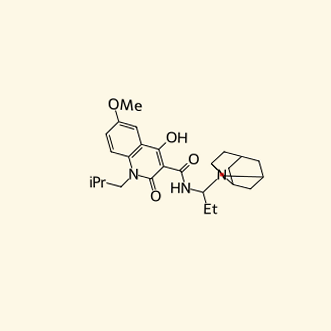 CCC(NC(=O)c1c(O)c2cc(OC)ccc2n(CC(C)C)c1=O)N1C2CC3CC(C2)CC1C3